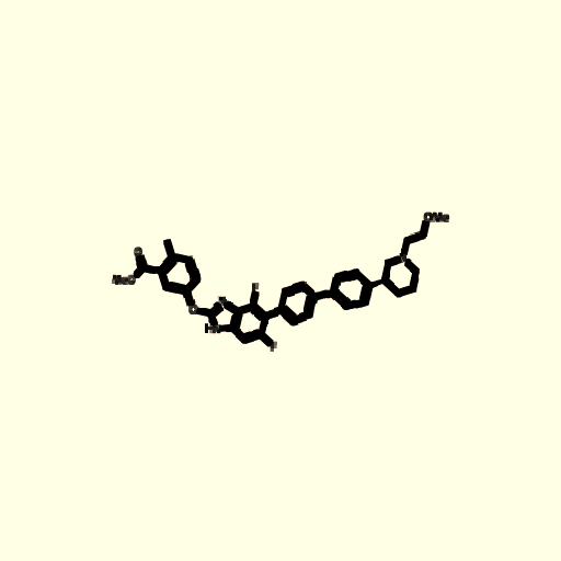 COCCN1CCC[C@@H](c2ccc(-c3ccc(-c4c(F)cc5[nH]c(Oc6ccc(C)c(C(=O)OC)c6)nc5c4F)cc3)cc2)C1